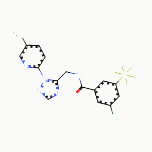 C[C@H](NC(=O)c1cc(Cl)cc(S(F)(F)(F)(F)F)c1)c1ncnn1-c1ccc(C#N)cn1